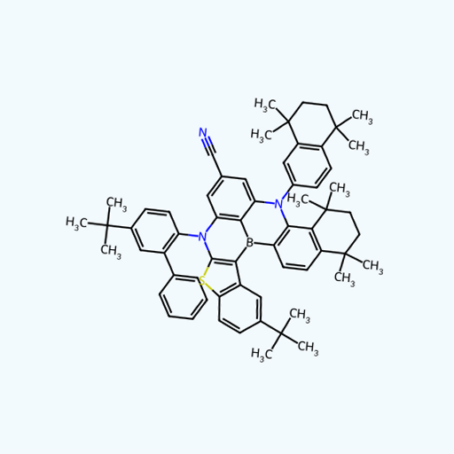 CC(C)(C)c1ccc(N2c3cc(C#N)cc4c3B(c3ccc5c(c3N4c3ccc4c(c3)C(C)(C)CCC4(C)C)C(C)(C)CCC5(C)C)c3c2sc2ccc(C(C)(C)C)cc32)c(-c2ccccc2)c1